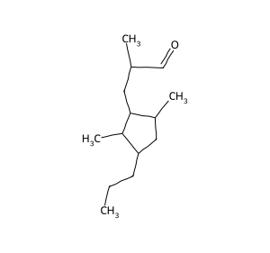 CCCC1CC(C)C(CC(C)C=O)C1C